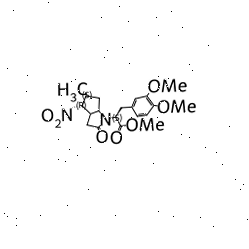 COC(=O)[C@H](Cc1ccc(OC)c(OC)c1)N1C(=O)CC2C1C[C@H](C)[C@H]2C[N+](=O)[O-]